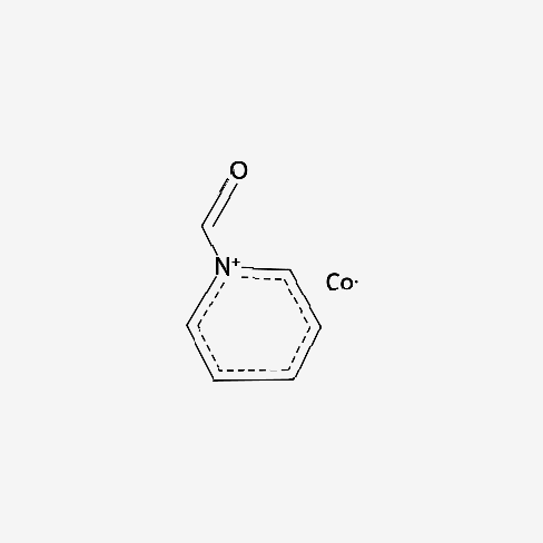 O=C[n+]1ccccc1.[Co]